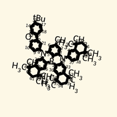 Cc1cc2c3c(c1)N(c1ccc4oc5cc(C(C)(C)C)ccc5c4c1)c1cc4c(cc1B3c1cc3c(cc1N2c1ccc2c(c1)C(C)(C)CCC2(C)C)C(C)(C)CCC3(C)C)C(C)(C)CCC4(C)C